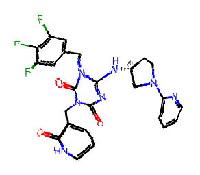 O=c1[nH]cccc1Cn1c(=O)nc(N[C@@H]2CCN(c3ccccn3)C2)n(Cc2cc(F)c(F)c(F)c2)c1=O